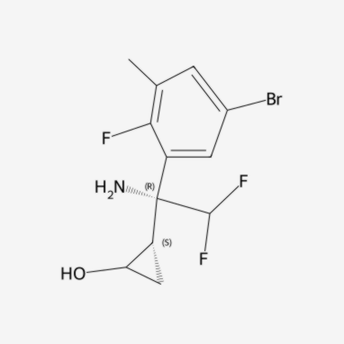 Cc1cc(Br)cc([C@@](N)(C(F)F)[C@@H]2CC2O)c1F